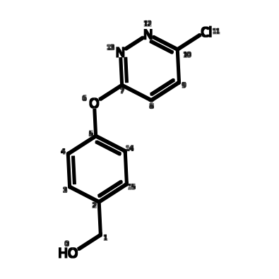 OCc1ccc(Oc2ccc(Cl)nn2)cc1